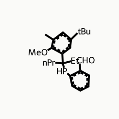 CCCC(CC)(Pc1ccccc1C=O)c1cc(C(C)(C)C)cc(C)c1OC